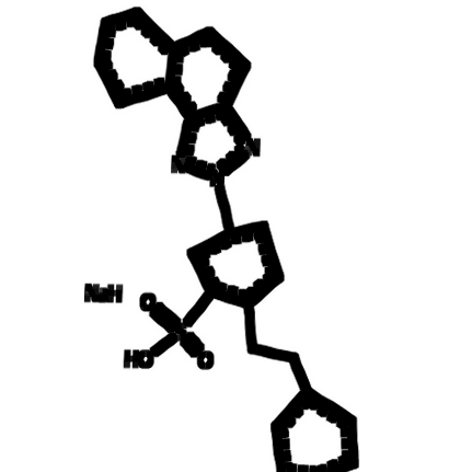 O=S(=O)(O)c1cc(-n2nc3ccc4ccccc4c3n2)ccc1CCc1ccccc1.[NaH]